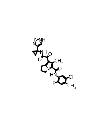 Cc1cc(F)c(NC(=O)c2c(C)c(C(=O)C(=O)NC3(c4c[nH]nn4)CC3)c3n2CCC3)cc1Cl